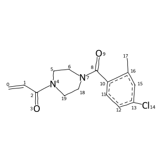 C=CC(=O)N1CCN(C(=O)c2ccc(Cl)cc2C)CC1